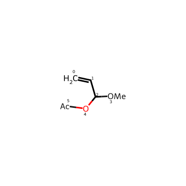 C=CC(OC)OC(C)=O